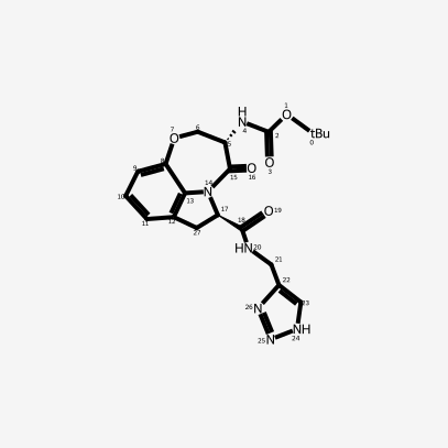 CC(C)(C)OC(=O)N[C@H]1COc2cccc3c2N(C1=O)[C@@H](C(=O)NCc1c[nH]nn1)C3